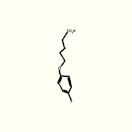 O=C(O)CCCCOc1ccc(F)cc1